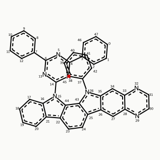 c1ccc(-c2nc(-c3ccccc3)nc(-n3c4ccccc4c4ccc5c6cc7nccnc7cc6n(-c6ccccc6)c5c43)n2)cc1